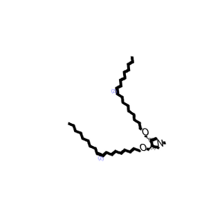 CCCCCCCC/C=C\CCCCCCCCOC[C@@H]1CN(C)C[C@H]1COCCCCCCCC/C=C\CCCCCCCC